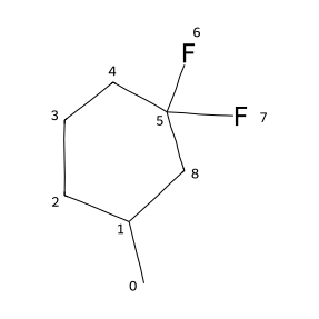 CC1CCCC(F)(F)C1